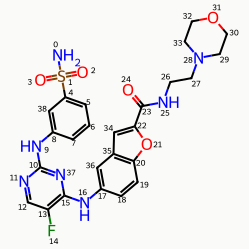 NS(=O)(=O)c1cccc(Nc2ncc(F)c(Nc3ccc4oc(C(=O)NCCN5CCOCC5)cc4c3)n2)c1